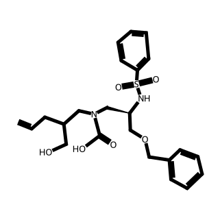 C=CCC(CO)CN(C[C@H](COCc1ccccc1)NS(=O)(=O)c1ccccc1)C(=O)O